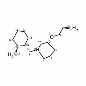 C=CCO[C@@H]1CCCN(C[C@H]2CCCC[C@@H]2N)C1